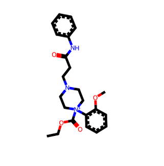 CCOC(=O)[N+]1(c2ccccc2OC)CCN(CCC(=O)Nc2ccccc2)CC1